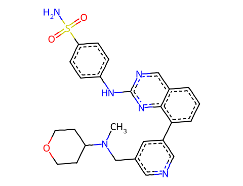 CN(Cc1cncc(-c2cccc3cnc(Nc4ccc(S(N)(=O)=O)cc4)nc23)c1)C1CCOCC1